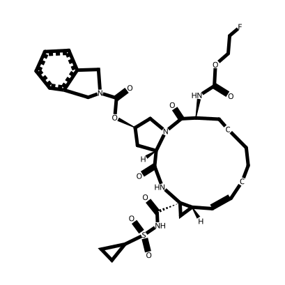 O=C(N[C@H]1CCCCC/C=C\[C@@H]2C[C@@]2(C(=O)NS(=O)(=O)C2CC2)NC(=O)[C@@H]2C[C@@H](OC(=O)N3Cc4ccccc4C3)CN2C1=O)OCCF